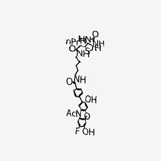 CCCC(C(=O)NCCCCCNC(=O)c1ccc(-c2cc3c(cc2O)Oc2cc(O)c(F)cc2N3C(C)=O)cc1)[C@@H]1SC[C@@H]2NC(=O)N[C@@H]21